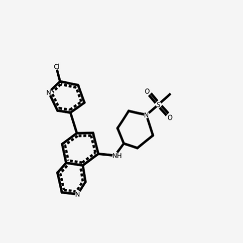 CS(=O)(=O)N1CCC(Nc2cc(-c3ccc(Cl)nc3)cc3ccncc23)CC1